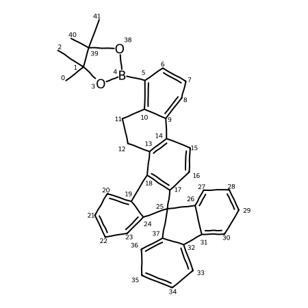 CC1(C)OB(c2cccc3c2CCc2c-3ccc3c2-c2ccccc2C32c3ccccc3-c3ccccc32)OC1(C)C